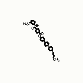 CCCCC[C@H]1CC[C@H](c2ccc(-c3ccc(OC(=O)C4CCC(C(=O)Nc5cc[c]c(C)c5)CC4)cc3)cc2)CC1